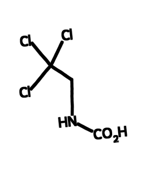 O=C(O)NCC(Cl)(Cl)Cl